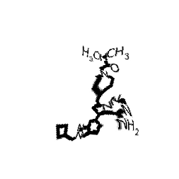 CN(C)C(=O)CN1CCC(c2cc(-c3ccc4cn(CC5CCC5)nc4c3)c3c(N)ncnn23)CC1